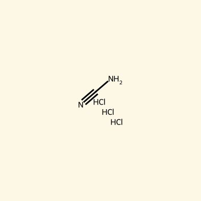 Cl.Cl.Cl.N#CN